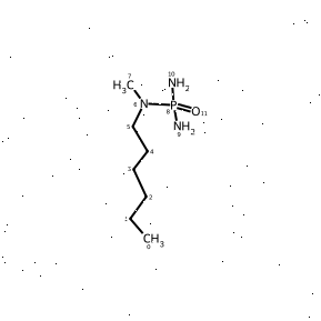 CCCCCCN(C)P(N)(N)=O